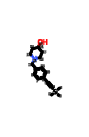 C[Si](C)(C)C#Cc1ccc(CN2CCC(O)CC2)cc1